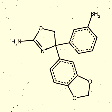 Bc1cccc(C2(c3ccc4c(c3)OCO4)COC(N)=N2)c1